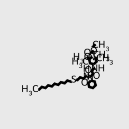 CCCCCCCCCCCCSCCC(=O)NN(C(=O)C(=O)NC1CC(C)(C)N(C(=O)OCC)C(C)(C)C1)C1CCCCC1